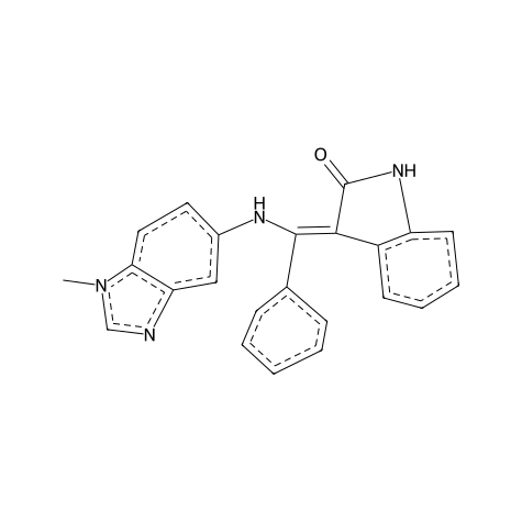 Cn1cnc2cc(N/C(=C3\C(=O)Nc4ccccc43)c3ccccc3)ccc21